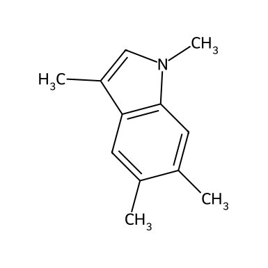 Cc1cc2c(C)cn(C)c2cc1C